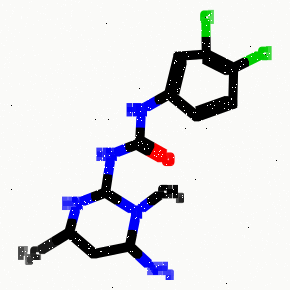 CN1C(N)CC(C(F)(F)F)NC1NC(=O)Nc1ccc(Cl)c(Cl)c1